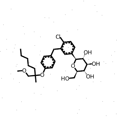 CCCCCC(C)(COC)Oc1ccc(Cc2cc([C@@H]3O[C@H](CO)[C@@H](O)[C@H](O)[C@H]3O)ccc2Cl)cc1